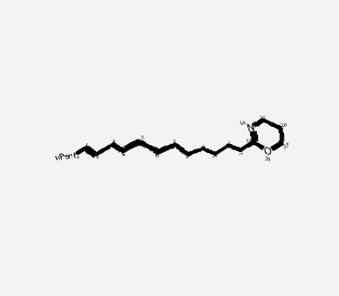 CCCCCC=CCC=CCCCCCCCC1=NCCCO1